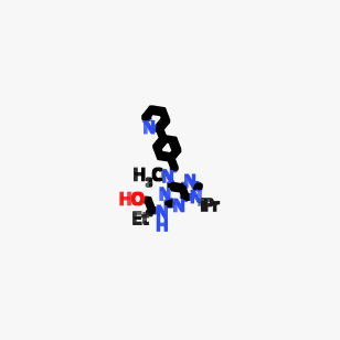 CCC(CO)Nc1nc(N(C)Cc2ccc(-c3ccccn3)cc2)c2ncn(C(C)C)c2n1